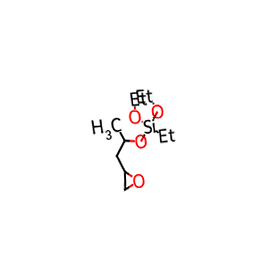 CCO[Si](CC)(OCC)OC(C)CC1CO1